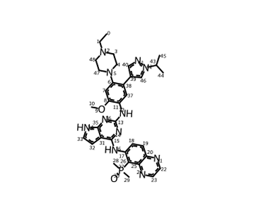 CCN1CCN(c2cc(OC)c(Nc3nc(Nc4ccc5nccnc5c4P(C)(C)=O)c4cc[nH]c4n3)cc2-c2cnn(C(C)C)c2)CC1